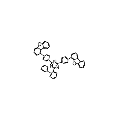 c1ccc(-c2ccccc2-c2nc(-c3ccc(-c4cccc5c4oc4ccccc45)cc3)nc(-c3ccc(-c4cccc5oc6ccccc6c45)cc3)n2)cc1